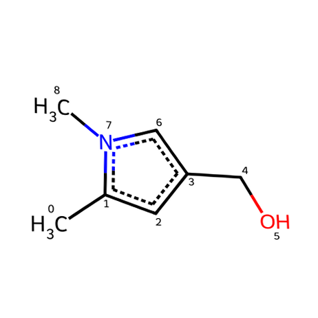 Cc1cc(CO)cn1C